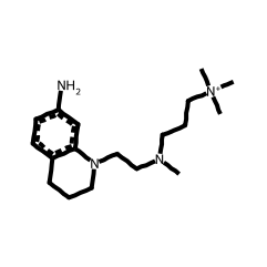 CN(CCC[N+](C)(C)C)CCN1CCCc2ccc(N)cc21